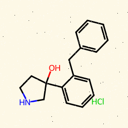 Cl.OC1(c2ccccc2Cc2ccccc2)CCNC1